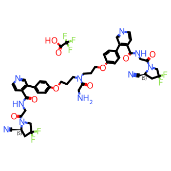 N#C[C@@H]1CC(F)(F)CN1C(=O)CNC(=O)c1ccncc1-c1ccc(OCCCN(CCCOc2ccc(-c3cnccc3C(=O)NCC(=O)N3CC(F)(F)C[C@H]3C#N)cc2)C(=O)CN)cc1.O=C(O)C(F)(F)F